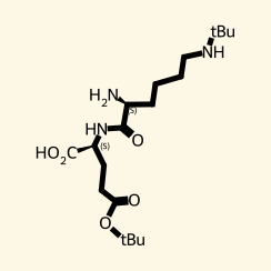 CC(C)(C)NCCCC[C@H](N)C(=O)N[C@@H](CCC(=O)OC(C)(C)C)C(=O)O